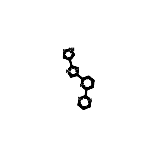 c1cnc(-c2cccc(-c3cnc(-c4cn[nH]c4)s3)n2)nc1